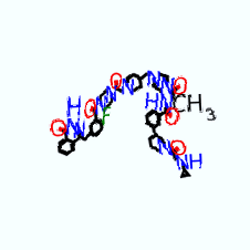 C[C@@H](NC(=O)c1cccc(C2CCCN(C(=O)CNC3CC3)C2)c1)C(=O)N1CCN(CC2CCN(CC(=O)N3CCN(C(=O)c4cc(Cc5n[nH]c(=O)c6ccccc56)ccc4F)CC3)CC2)CC1